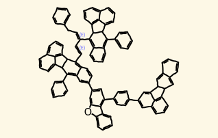 C1=c2ccccc2=CC2c3cc(-c4ccc(-c5cc(-c6ccc7c(c6)=C(c6ccccc6)C6c8cccc9cccc(c89)C6C=7/C=C/C(=C\Cc6ccccc6)C6=c7ccccc7=C(c7ccccc7)C7c8cccc9cccc(c89)C67)cc6oc7ccccc7c56)cc4)cc4cccc(c34)C12